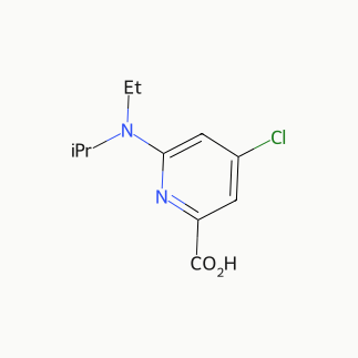 CCN(c1cc(Cl)cc(C(=O)O)n1)C(C)C